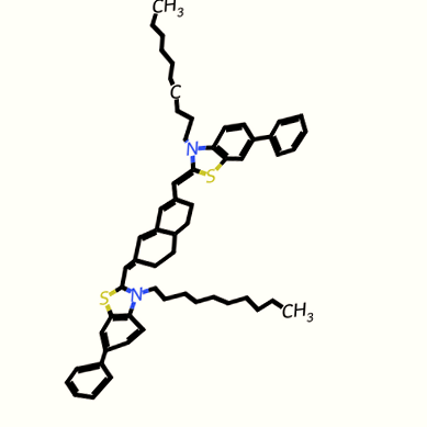 CCCCCCCCCCN1/C(=C/C2=CC3=C/C(=C/C4Sc5cc(-c6ccccc6)ccc5N4CCCCCCCCCC)CCC3CC2)Sc2cc(-c3ccccc3)ccc21